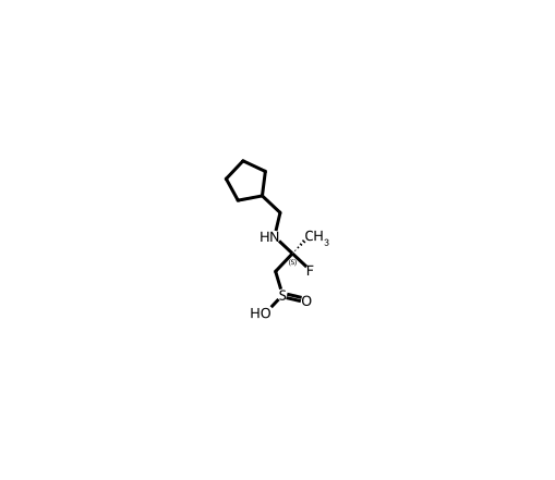 C[C@](F)(CS(=O)O)NCC1CCCC1